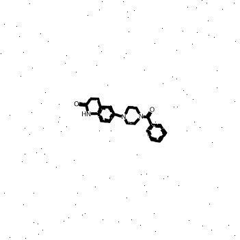 O=C1CCc2cc(N3CCN(C(=O)c4ccccc4)CC3)ccc2N1